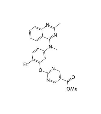 CCc1ccc(N(C)c2nc(C)nc3ccccc23)cc1Oc1ncc(C(=O)OC)cn1